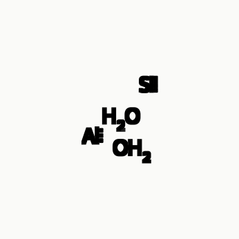 O.O.[Al].[Si]